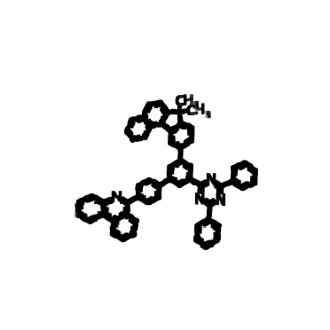 CC1(C)c2ccc(-c3cc(-c4ccc(-c5nc6ccccc6c6ccccc56)cc4)cc(-c4nc(-c5ccccc5)nc(-c5ccccc5)n4)c3)cc2-c2c1ccc1ccccc21